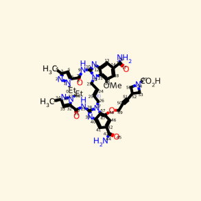 CCn1nc(C)cc1C(=O)Nc1nc2cc(C(N)=O)cc(OC)c2n1C/C=C/Cn1c(NC(=O)c2cc(C)nn2CC)nc2cc(C(N)=O)cc(OCC#CC3CN(C(=O)O)C3)c21